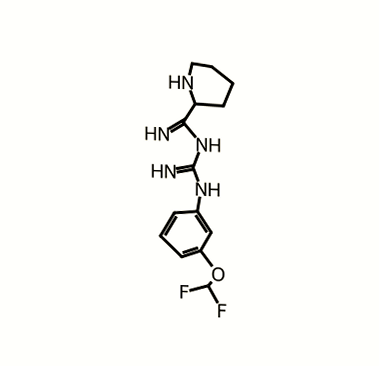 N=C(NC(=N)C1CCCCN1)Nc1cccc(OC(F)F)c1